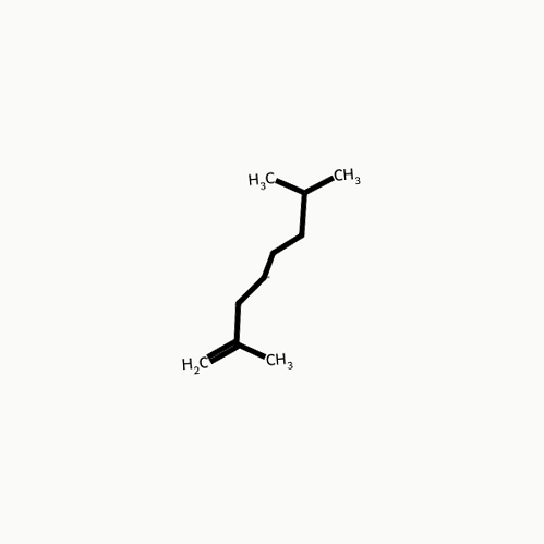 C=C(C)C[CH]CCC(C)C